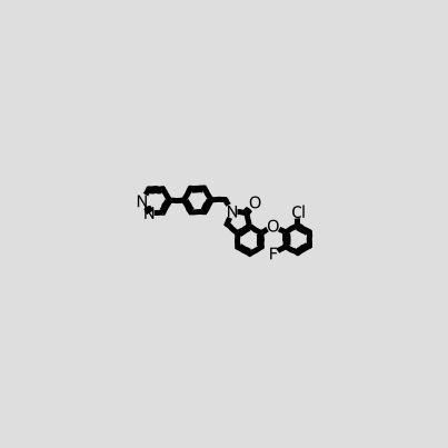 O=C1c2c(cccc2Oc2c(F)cccc2Cl)CN1Cc1ccc(-c2ccnnc2)cc1